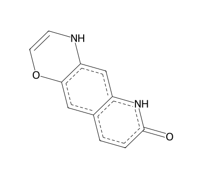 O=c1ccc2cc3c(cc2[nH]1)NC=CO3